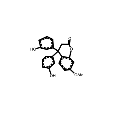 COc1ccc2c(c1)OC(=O)CC2(c1cccc(O)c1)c1cccc(O)c1